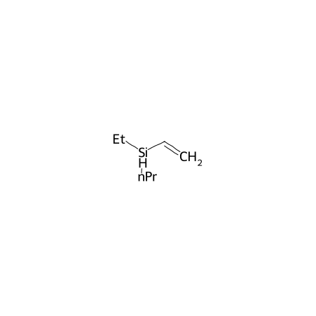 C=C[SiH](CC)CCC